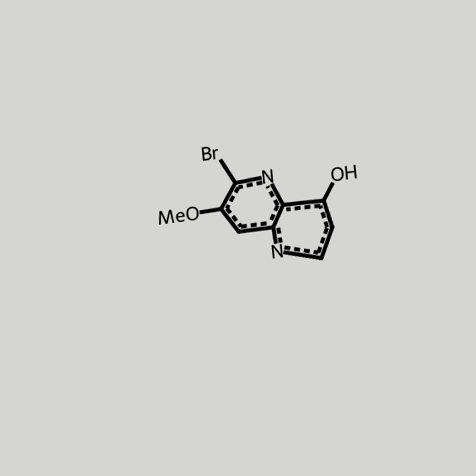 COc1cc2nccc(O)c2nc1Br